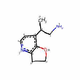 CC(CN)c1ccnc2c1OCC2